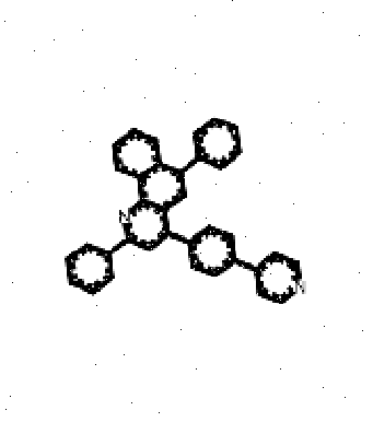 c1ccc(-c2cc(-c3ccc(-c4ccncc4)cc3)c3cc(-c4ccccc4)c4ccccc4c3n2)cc1